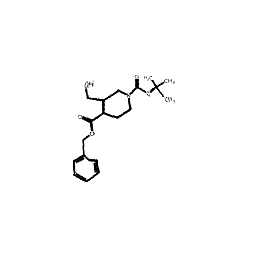 CC(C)(C)OC(=O)N1CCC(C(=O)OCc2ccccc2)C(CO)C1